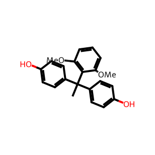 COc1cccc(OC)c1C(C)(c1ccc(O)cc1)c1ccc(O)cc1